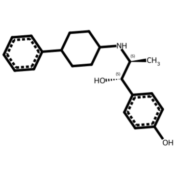 C[C@H](NC1CCC(c2ccccc2)CC1)[C@@H](O)c1ccc(O)cc1